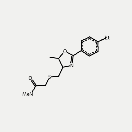 CCc1ccc(C2=NC(CSCC(=O)NC)C(C)O2)cc1